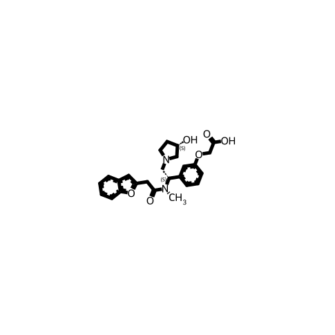 CN(C(=O)Cc1cc2ccccc2o1)[C@H](CN1CC[C@H](O)C1)c1cccc(OCC(=O)O)c1